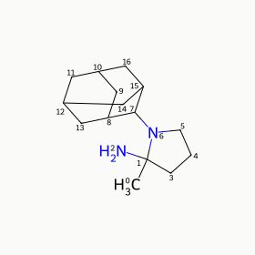 CC1(N)CCCN1C1C2CC3CC(C2)CC1C3